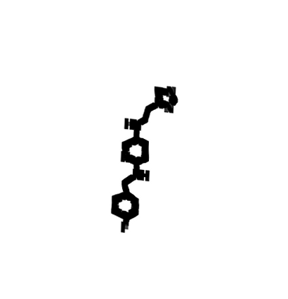 Fc1ccc(CNc2ccc(NCCn3cncn3)cn2)cc1